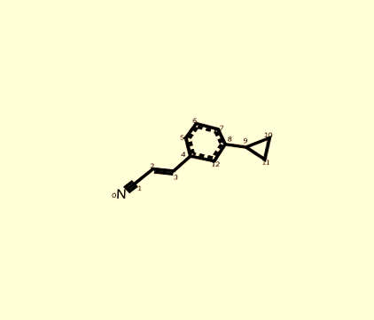 N#CC=Cc1cccc(C2CC2)c1